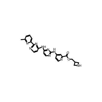 Cc1cccc(-c2nccc(Nc3ccnc(Nc4ccnc(C(=O)OCC5CNC5)c4)n3)n2)n1